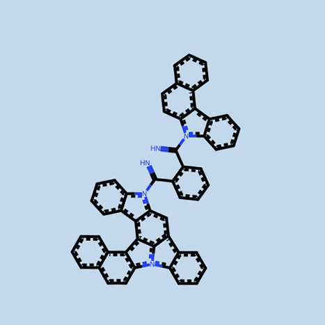 N=C(c1ccccc1C(=N)n1c2ccccc2c2c3c4c5ccccc5ccc4n4c5ccccc5c(cc21)c34)n1c2ccccc2c2c3ccccc3ccc21